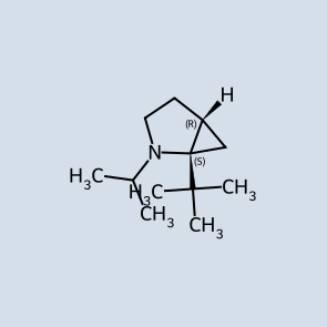 CC(C)N1CC[C@@H]2C[C@@]21C(C)(C)C